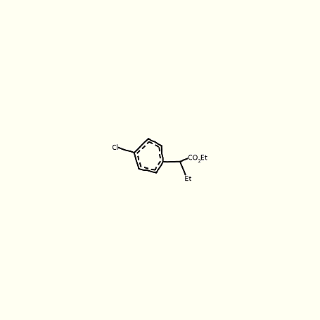 [CH2]CC(C(=O)OCC)c1ccc(Cl)cc1